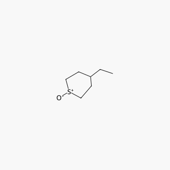 CCC1CC[S+]([O-])CC1